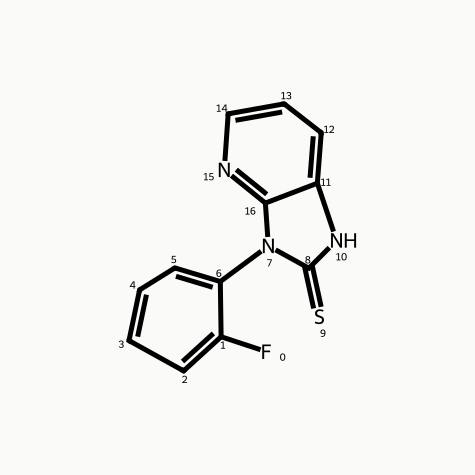 Fc1ccccc1-n1c(=S)[nH]c2cccnc21